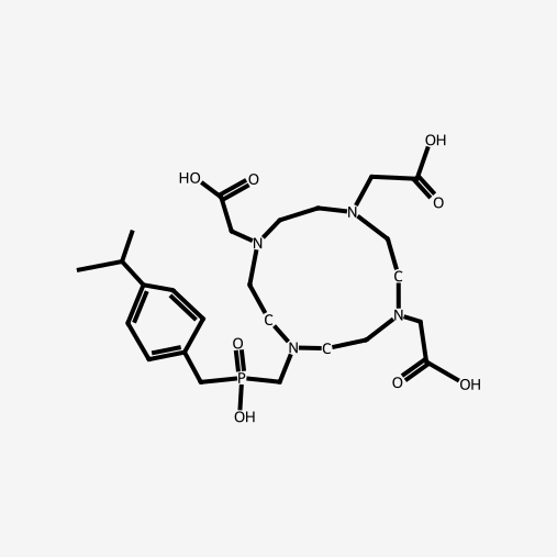 CC(C)c1ccc(CP(=O)(O)CN2CCN(CC(=O)O)CCN(CC(=O)O)CCN(CC(=O)O)CC2)cc1